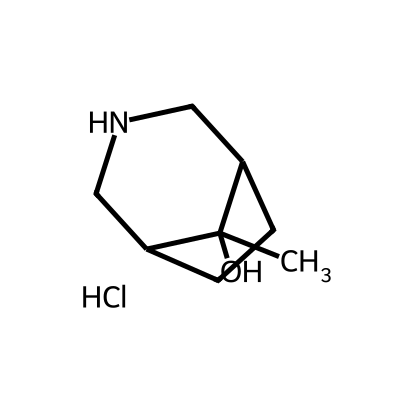 CC1(O)C2CCC1CNC2.Cl